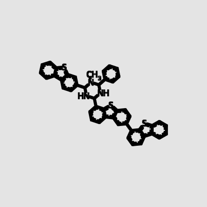 CN1C(c2ccccc2)NC(c2cccc3c2sc2ccc(-c4cccc5c4sc4ccccc45)cc23)NC1c1ccc2c(c1)sc1ccccc12